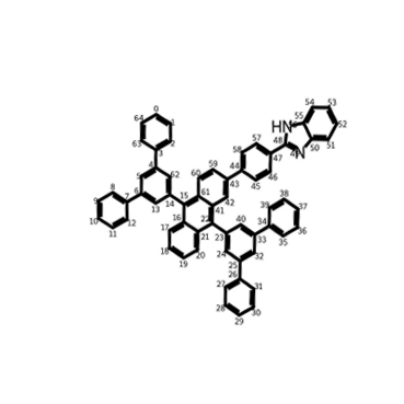 c1ccc(-c2cc(-c3ccccc3)cc(-c3c4ccccc4c(-c4cc(-c5ccccc5)cc(-c5ccccc5)c4)c4cc(-c5ccc(-c6nc7ccccc7[nH]6)cc5)ccc34)c2)cc1